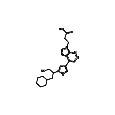 CC(C)(C)C(=O)CCn1ccc2c(-c3cnn(C(CC#N)CC4CCCCC4)c3)cnnc21